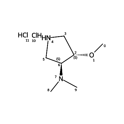 CO[C@H]1CNC[C@@H]1N(C)C.Cl.Cl